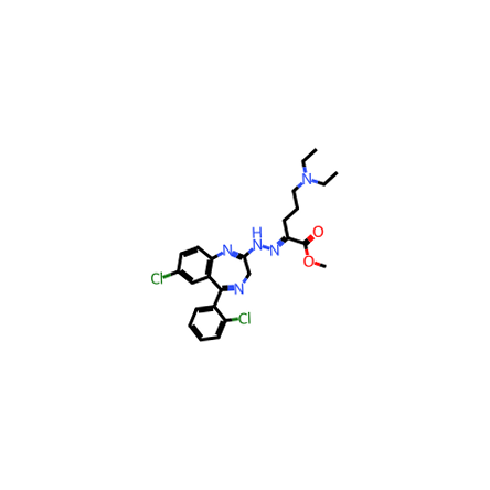 CCN(CC)CCC/C(=N\NC1=Nc2ccc(Cl)cc2C(c2ccccc2Cl)=NC1)C(=O)OC